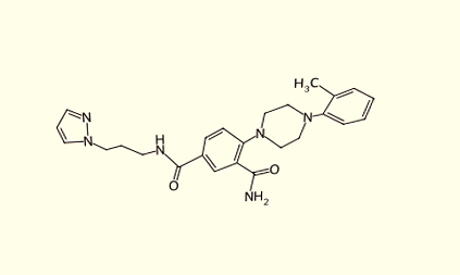 Cc1ccccc1N1CCN(c2ccc(C(=O)NCCCn3cccn3)cc2C(N)=O)CC1